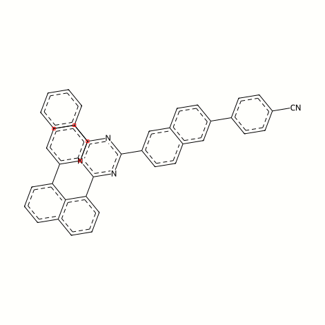 N#Cc1ccc(-c2ccc3cc(-c4nc(-c5ccccc5)nc(-c5cccc6cccc(-c7ccccc7)c56)n4)ccc3c2)cc1